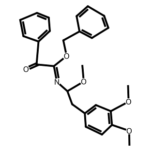 COc1ccc(CC(N=C(OCc2ccccc2)C(=O)c2ccccc2)OC)cc1OC